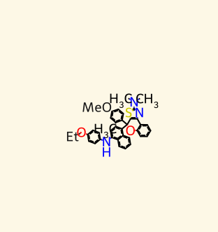 CCOc1ccc(Nc2ccc(C3(c4ccc(OC)cc4C)Oc4ccccc4-c4nc(N(C)C)sc43)c3ccccc23)cc1